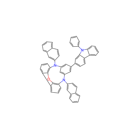 c1ccc(-n2c3ccccc3c3ccc(-c4cc5cc(c4)N(c4ccc6ccccc6c4)c4cccc6c4oc4c(cccc46)N5c4ccc5ccccc5c4)cc32)cc1